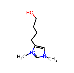 Cn1cc(CCCCO)[n+](C)c1